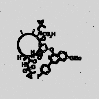 COc1ccc2c(O[C@@H]3C[C@H]4C(=O)N[C@]5(C(=O)NS(=O)(=O)C6(C)CC6)C[C@H]5C=CCC[C@H](C)C[C@@H](C)[C@H](N(CC5(C)CC5)C(=O)O)C(=O)N4C3)nc(-c3ccc(F)cc3)cc2c1